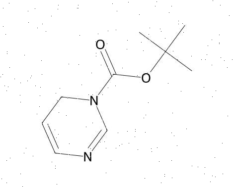 CC(C)(C)OC(=O)N1C=NC=CC1